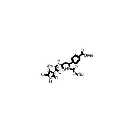 COC(=O)c1ccc(C(CC(=O)N[C@H](C(=O)[C@@H]2C(=O)NC(=O)[C@H]2C)C(C)C)NC(=O)OC(C)(C)C)cc1